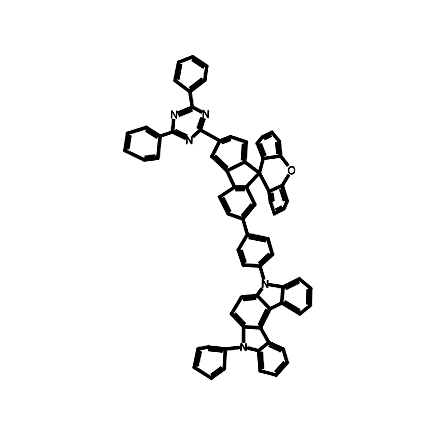 c1ccc(-c2nc(-c3ccccc3)nc(-c3ccc4c(c3)-c3ccc(-c5ccc(-n6c7ccccc7c7c8c9ccccc9n(-c9ccccc9)c8ccc76)cc5)cc3C43c4ccccc4Oc4ccccc43)n2)cc1